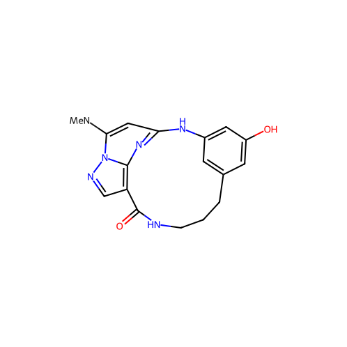 CNc1cc2nc3c(cnn13)C(=O)NCCCc1cc(O)cc(c1)N2